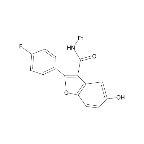 CCNC(=O)c1c(-c2ccc(F)cc2)oc2ccc(O)cc12